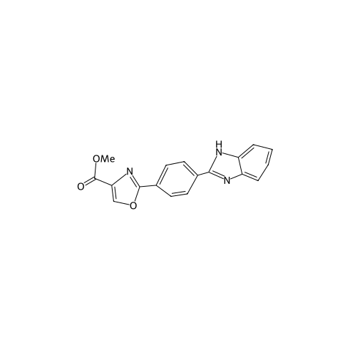 COC(=O)c1coc(-c2ccc(-c3nc4ccccc4[nH]3)cc2)n1